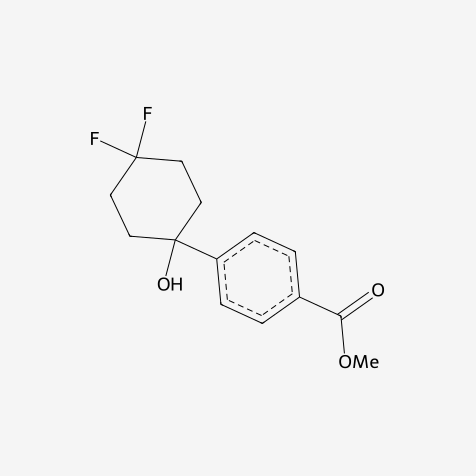 COC(=O)c1ccc(C2(O)CCC(F)(F)CC2)cc1